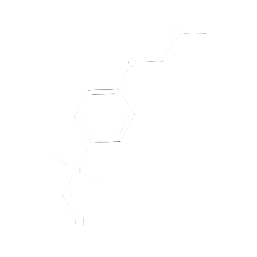 COCOc1ccc([Si](C)(C)CCl)cc1